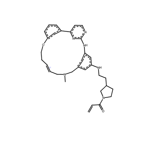 C=CC(=O)N1CCC(CCNc2cc3cc(c2)Nc2nccc(n2)-c2cccc(c2)OCC/C=C/CN(C)C3)C1